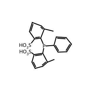 Cc1cccc(S(=O)(=O)O)c1P(c1ccccc1)c1c(C)cccc1S(=O)(=O)O